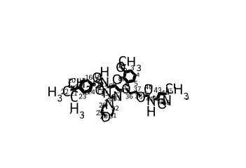 COc1ccccc1Oc1c(NS(=O)(=O)c2ccc(C(C)(C)C)cc2)nc(N2CCOCC2)nc1OCCOC(=O)Nc1cc(C)no1